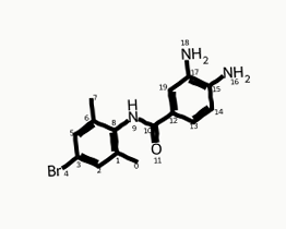 Cc1cc(Br)cc(C)c1NC(=O)c1ccc(N)c(N)c1